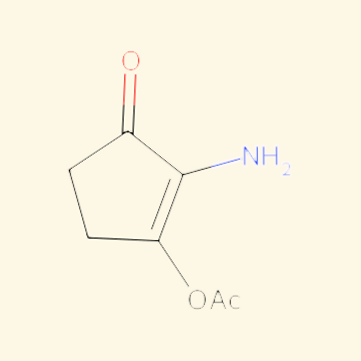 CC(=O)OC1=C(N)C(=O)CC1